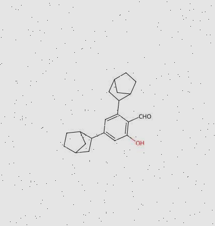 O=Cc1c(O)cc(C2CC3CCC2C3)cc1C1CC2CCC1C2